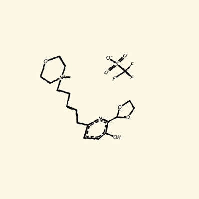 C[N+]1(CCCCCc2ccc(O)c(C3OCCO3)n2)CCOCC1.O=S(=O)([O-])C(F)(F)F